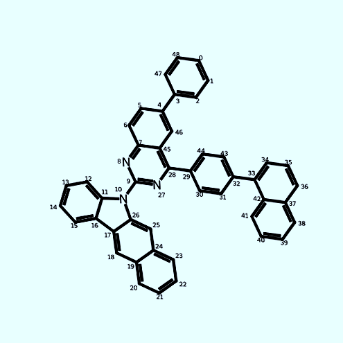 c1ccc(-c2ccc3nc(-n4c5ccccc5c5cc6ccccc6cc54)nc(-c4ccc(-c5cccc6ccccc56)cc4)c3c2)cc1